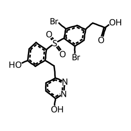 O=C(O)Cc1cc(Br)c(S(=O)(=O)c2ccc(O)cc2Cc2ccc(O)nn2)c(Br)c1